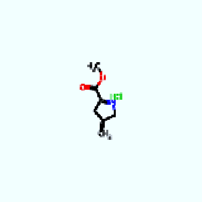 C=C1CN=C(C(=O)OC)C1.Cl